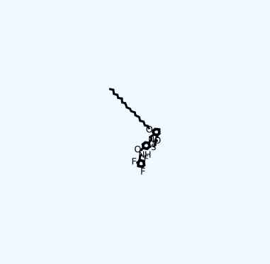 CCCCCCCCCCCCCCCCCCOc1cccc(F)c1CN1C(=O)CSc2cc(C(=O)NCc3c(F)cc(F)cc3F)ccc21